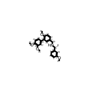 COc1cccc([C@@H](C)NCc2ccc(OC)c(-c3ccc(OC)c(OC)c3)c2)c1